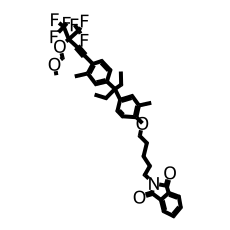 CCC(CC)(c1ccc(C#CC(OCOC)(C(F)(F)F)C(F)(F)F)c(C)c1)c1ccc(OCCCCCN2C(=O)c3ccccc3C2=O)c(C)c1